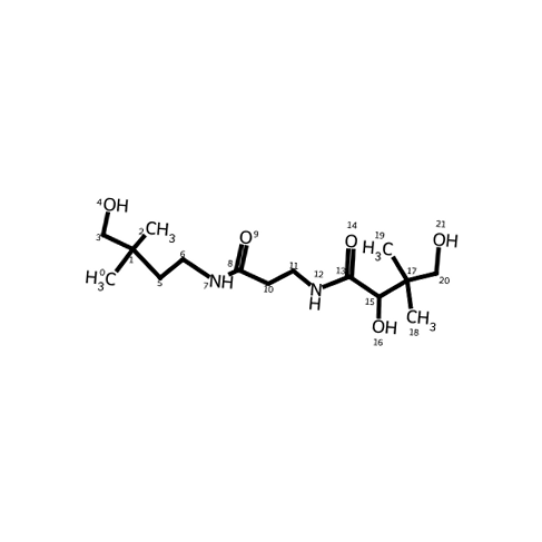 CC(C)(CO)CCNC(=O)CCNC(=O)C(O)C(C)(C)CO